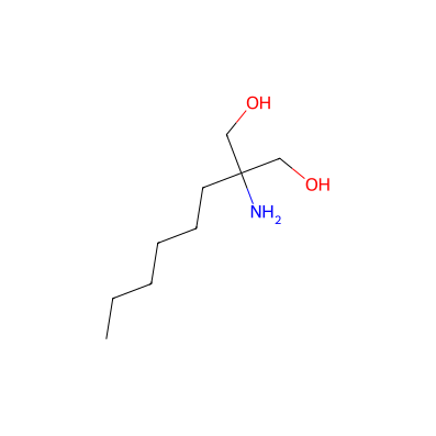 CCCCCCC(N)(CO)CO